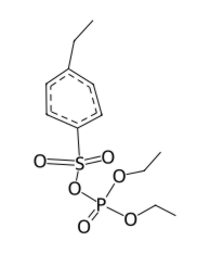 CCOP(=O)(OCC)OS(=O)(=O)c1ccc(CC)cc1